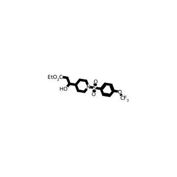 CCOC(=O)CC(O)C1CCN(S(=O)(=O)c2ccc(OC(F)(F)F)cc2)CC1